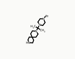 CC(C)N1CCN(C(C)(C)N2CCC3(CCNCC3)CC2)CC1